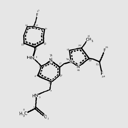 CC(=O)NCc1cc(Nc2ccc(F)cc2)nc(-n2cc(C)c(C(F)F)n2)c1